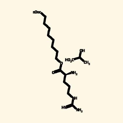 CC(O)C(=O)O.CCCCCCCCCCCCCCCCCCOC(=O)[C@@H](N)CCCNC(=N)N